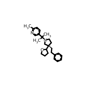 Cc1ccc(C(C)(C)N2CC[C@](CCc3ccccc3)(C3CCCO3)C2)cn1